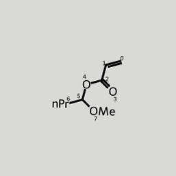 C=CC(=O)OC(CCC)OC